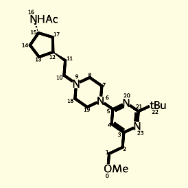 COCCc1cc(N2CCN(CC[C@H]3CC[C@H](NC(C)=O)C3)CC2)nc(C(C)(C)C)n1